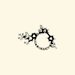 CN(Cc1cccc2c1OCCOCCOCCN(C)C(=O)c1ccc(cc1)-c1cnc(N)c(n1)C(=O)N2)C(=O)OC(C)(C)C